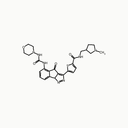 CN1CCC(CNC(=O)c2ccc(C3=C4C(=O)c5c(NC(=O)NN6CCOCC6)cccc5C4N=N3)s2)C1